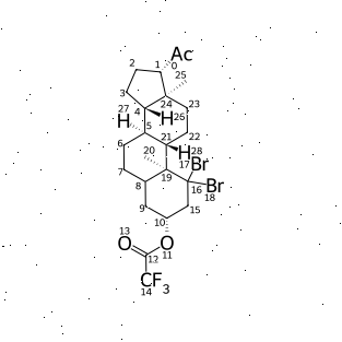 CC(=O)[C@H]1CC[C@H]2[C@@H]3CCC4C[C@@H](OC(=O)C(F)(F)F)CC(Br)(Br)[C@]4(C)[C@H]3CC[C@]12C